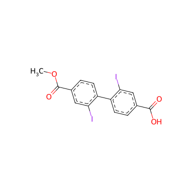 COC(=O)c1ccc(-c2ccc(C(=O)O)cc2I)c(I)c1